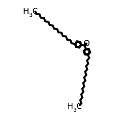 CCCCCCCCCCCCCCCCCCc1ccc(C(=O)c2ccc(CCCCCCCCCCCCCCCCCC)cc2)cc1